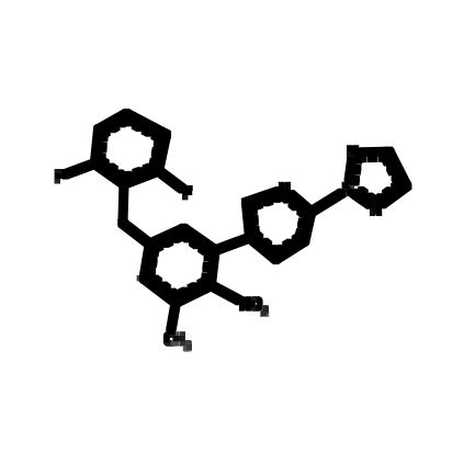 Cc1[c]c(Cc2c(F)cccc2F)cc(-c2ccc(-n3nccn3)nc2)c1[N+](=O)[O-]